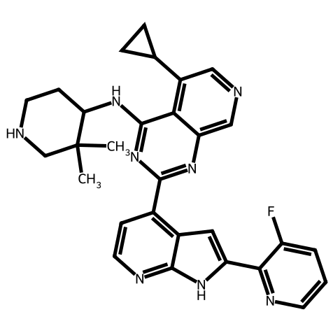 CC1(C)CNCCC1Nc1nc(-c2ccnc3[nH]c(-c4ncccc4F)cc23)nc2cncc(C3CC3)c12